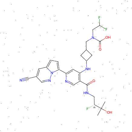 CC(C)(O)[C@H](F)CNC(=O)c1cnc(-c2ccc3cc(C#N)cnn23)cc1NC1CC(CN(CC(F)F)C(=O)O)C1